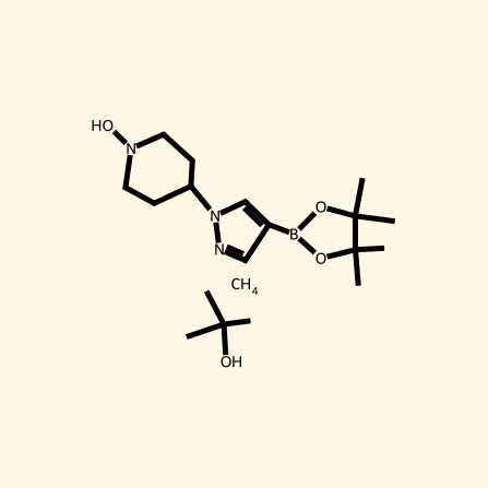 C.CC(C)(C)O.CC1(C)OB(c2cnn(C3CCN(O)CC3)c2)OC1(C)C